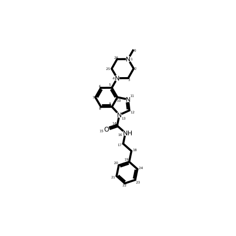 CN1CCN(c2cccc3c2ncn3C(=O)NCCc2ccccc2)CC1